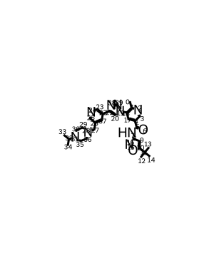 Cc1ncc(C(=O)Nc2cc(C(C)(C)C)on2)cc1-n1cc(-c2cncc(CN3CCN(C(C)C)CC3)c2)nn1